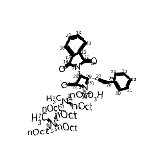 CCCCCCCC[N+](C)(CCCCCCCC)CCCCCCCC.CCCCCCCC[N+](C)(CCCCCCCC)CCCCCCCC.O=C1c2ccccc2C(=O)N1[C@H]1C(=O)N(S(=O)(=O)O)[C@H]1C=Cc1ccccc1